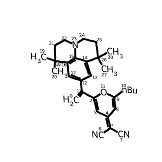 C=C(C1=CC(=C(C#N)C#N)C=C(CCCC)O1)c1cc2c3c(c1)C(C)(C)CCN3CCC2(C)C